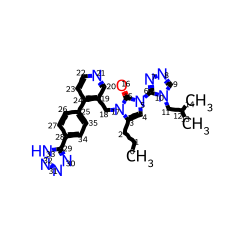 CCCc1cn(-c2nncn2CC(C)C)c(=O)n1Cc1cnccc1-c1ccc(-c2nnn[nH]2)cc1